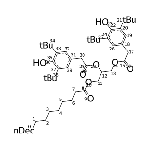 CCCCCCCCCCCCCCCCCC(=O)OCC(COC(=O)Cc1cc(C(C)(C)C)c(O)c(C(C)(C)C)c1)OC(=O)Cc1cc(C(C)(C)C)c(O)c(C(C)(C)C)c1